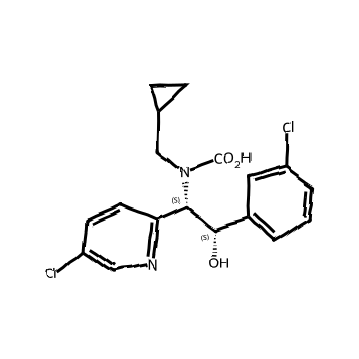 O=C(O)N(CC1CC1)[C@@H](c1ccc(Cl)cn1)[C@@H](O)c1cccc(Cl)c1